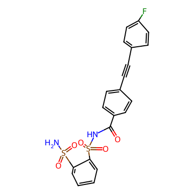 NS(=O)(=O)c1ccccc1S(=O)(=O)NC(=O)c1ccc(C#Cc2ccc(F)cc2)cc1